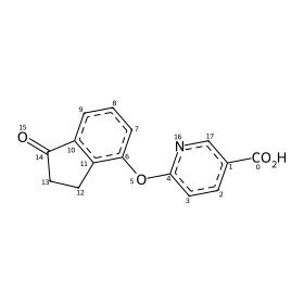 O=C(O)c1ccc(Oc2cccc3c2CCC3=O)nc1